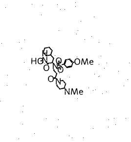 CNC1CCN(C(=O)CCN(C(CC2CCCCC2)C(=O)NO)S(=O)(=O)c2ccc(OC)cc2)CC1